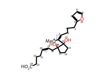 CO/C(=C/CCCc1ccco1)C1(O)CCCC1(O)C/C=C\CCCC(=O)O